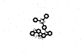 CC1(C)c2ccc3c4ccccc4n(-c4ccc(-c5nc(-c6ccccc6)nc(-c6ccccc6)n5)cc4)c3c2-c2ccc3oc4ccccc4c3c21